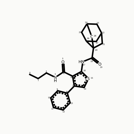 CCCNC(=O)c1c(-c2ccccc2)csc1NC(=O)C12CC3CC(CC1C3)C2